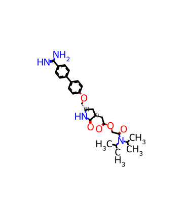 CC(C)N(C(=O)COC(=O)C[C@@H]1C[C@@H](COc2ccc(-c3ccc(C(=N)N)cc3)cc2)NC1=O)C(C)C